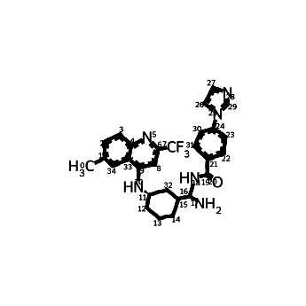 Cc1ccc2nc(C(F)(F)F)cc(N[C@H]3CCCC(C(N)NC(=O)c4ccc(-n5ccnc5)cc4)C3)c2c1